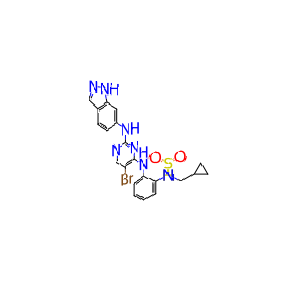 O=[SH](=O)N(CC1CC1)c1ccccc1Nc1nc(Nc2ccc3cn[nH]c3c2)ncc1Br